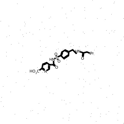 CC(C)CC(=O)NCCc1ccc(S(=O)(=O)NC(=O)c2ccc(C(=O)O)nc2)cc1